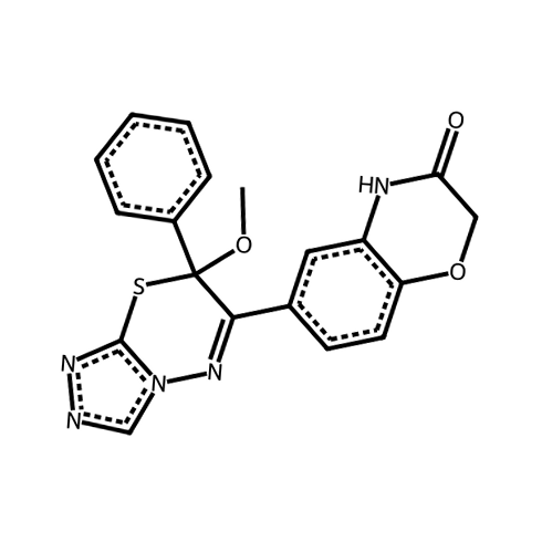 COC1(c2ccccc2)Sc2nncn2N=C1c1ccc2c(c1)NC(=O)CO2